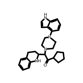 O=C(C1CCCC1)C(C1CCc2ccccc2N1)N1CCN(c2cccc3[nH]ccc23)CC1